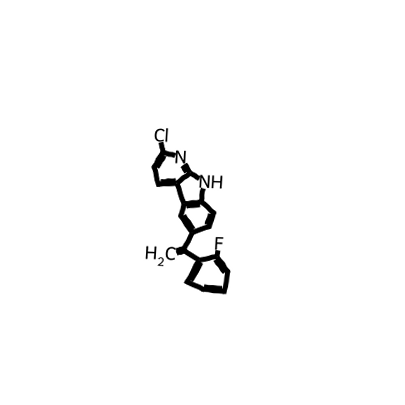 C=C(c1ccc2[nH]c3nc(Cl)ccc3c2c1)c1ccccc1F